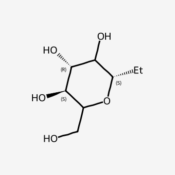 CC[C@@H]1OC(CO)[C@@H](O)[C@H](O)C1O